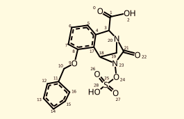 O=C(O)C1c2cccc(OCc3ccccc3)c2C2CN1C(=O)N2OS(=O)(=O)O